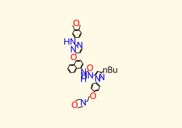 CCCCc1cc(NC(=O)Nc2ccc(Oc3ccnc(Nc4ccc5c(c4)COC5)n3)c3ccccc23)n(-c2ccc(OCCN3CCOCC3)cc2)n1